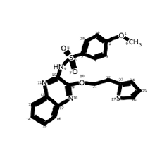 COc1ccc(S(=O)(=O)Nc2nc3ccccc3nc2OCCc2cccs2)cc1